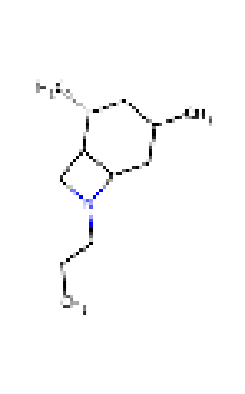 CCCN1CC2C1CC(C)C[C@H]2C